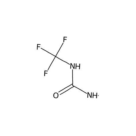 [NH]C(=O)NC(F)(F)F